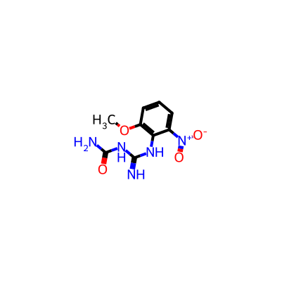 COc1cccc([N+](=O)[O-])c1NC(=N)NC(N)=O